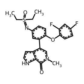 CCS(=O)(CC)=Nc1ccc(Oc2ccc(F)cc2F)c(-c2cn(C)c(=O)c3[nH]ccc23)c1